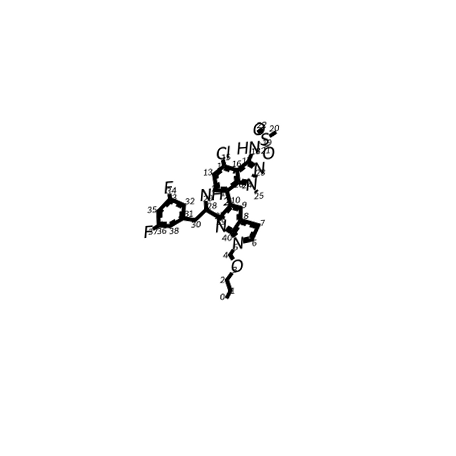 CCCOCn1ccc2cc(-c3ccc(Cl)c4c(NS(C)(=O)=O)nn(C)c34)c(C(N)Cc3cc(F)cc(F)c3)nc21